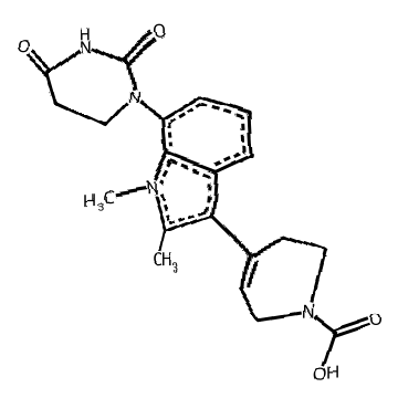 Cc1c(C2=CCN(C(=O)O)CC2)c2cccc(N3CCC(=O)NC3=O)c2n1C